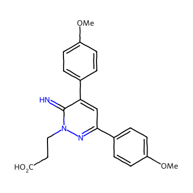 COc1ccc(-c2cc(-c3ccc(OC)cc3)c(=N)n(CCC(=O)O)n2)cc1